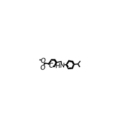 COC(=O)c1ccc(CNc2ccc(C(C)C)cc2)cc1